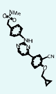 CNS(=O)(=O)Cc1ccc(Nc2nccc(-c3ccc(OCC4CC4)c(C#N)c3)n2)cc1